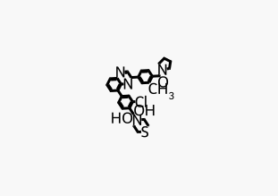 Cc1cc(-c2cnc3cccc(-c4ccc(C(O)(O)N5CCSCC5)c(Cl)c4)c3n2)ccc1C(=O)N1CCCC1